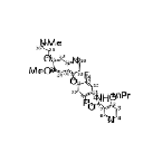 CCCOc1ccncc1C(=O)Nc1cc(F)c(Oc2ccnc3cc(OCCNC)c(OC)cc23)cc1F